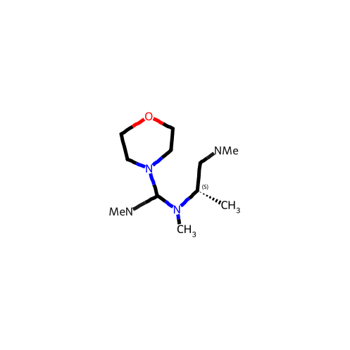 CNC[C@H](C)N(C)C(NC)N1CCOCC1